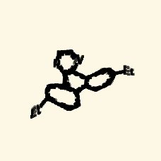 CCc1ccc2c3ccc(CC)cc3c3nccnc3c2c1